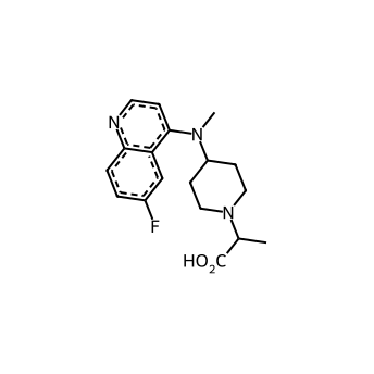 CC(C(=O)O)N1CCC(N(C)c2ccnc3ccc(F)cc23)CC1